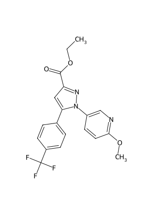 CCOC(=O)c1cc(-c2ccc(C(F)(F)F)cc2)n(-c2ccc(OC)nc2)n1